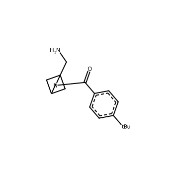 CC(C)(C)c1ccc(C(=O)N2CC3CC2(CN)C3)cc1